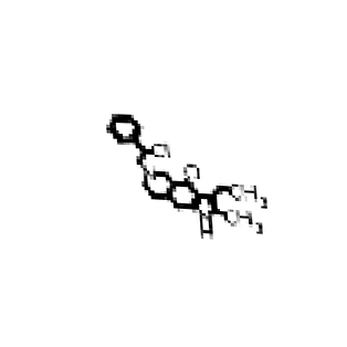 CCc1c(C)[nH]c2c1C(=O)C1CN(CC(Cl)c3ccccc3)CCC1C2